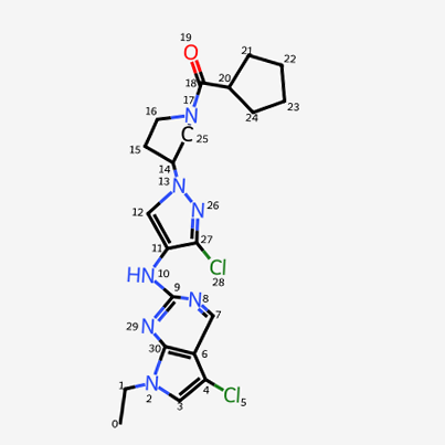 CCn1cc(Cl)c2cnc(Nc3cn(C4CCN(C(=O)C5CCCC5)C4)nc3Cl)nc21